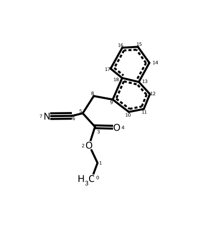 CCOC(=O)C(C#N)Cc1cccc2ccccc12